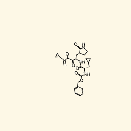 O=C(N[C@@H](CC1CC1)C(=O)NC(C[C@@H]1CCNC1=O)C(=O)C(=O)NC1CC1)OCc1ccccc1